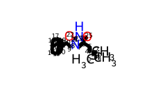 C[Si](C)(C)C=Cc1cn(CCC23CC4CC(CC(C4)C2)C3)c(=O)[nH]c1=O